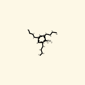 CCCCc1cc(CCCC)c(P)c(CCCC)c1